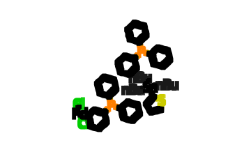 CCC[CH2][Sn]([CH2]CCC)([CH2]CCC)[c]1cccs1.[Cl][Pd][Cl].c1ccc(P(c2ccccc2)c2ccccc2)cc1.c1ccc(P(c2ccccc2)c2ccccc2)cc1